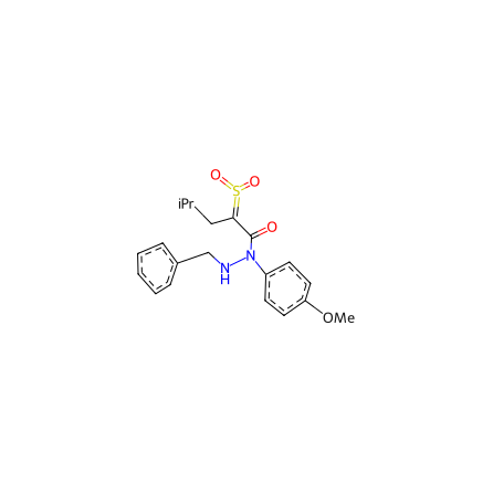 COc1ccc(N(NCc2ccccc2)C(=O)C(CC(C)C)=S(=O)=O)cc1